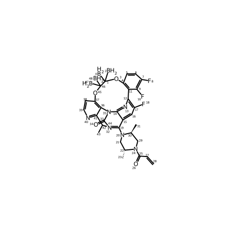 BC1(B)Oc2ccc(F)c(F)c2-c2nc3c(cc2F)c(N2C[C@@H](C)N(C(=O)C=C)C[C@@H]2C)nc(=O)n3-c2c(ccnc2C(C)C)OC1(B)B